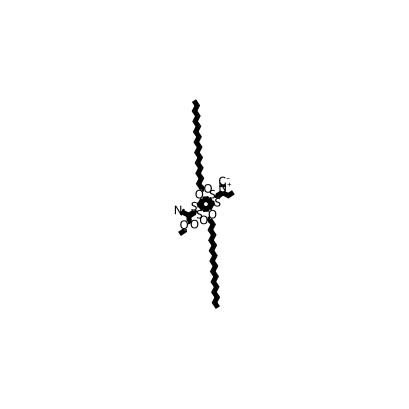 [C-]#[N+]C(CC)=C1Sc2c(OC(=O)CCCCCCCCCCCCCCCCC)c3c(c(OC(=O)CCCCCCCCCCCCCCCCC)c2S1)SC(=C(C#N)C(=O)OCC)S3